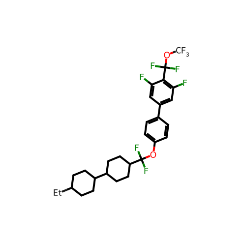 CCC1CCC(C2CCC(C(F)(F)Oc3ccc(-c4cc(F)c(C(F)(F)OC(F)(F)F)c(F)c4)cc3)CC2)CC1